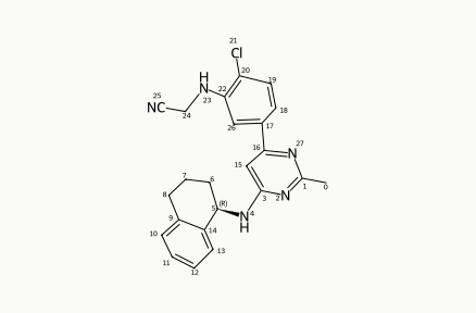 Cc1nc(N[C@@H]2CCCc3ccccc32)cc(-c2ccc(Cl)c(NCC#N)c2)n1